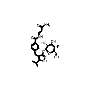 CC(C)c1[nH]nc(O[C@@H]2O[C@H](CO)[C@@H](F)[C@H](O)[C@H]2O)c1Cc1ccc(C(=O)NCCC(N)=O)cc1